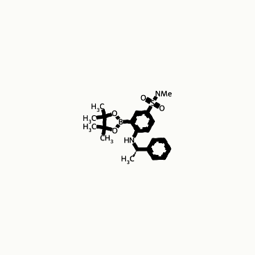 CNS(=O)(=O)c1ccc(N[C@@H](C)c2ccccc2)c(B2OC(C)(C)C(C)(C)O2)c1